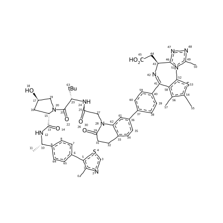 Cc1ncsc1-c1ccc([C@H](C)NC(=O)[C@@H]2C[C@@H](O)CN2C(=O)[C@@H](NC(=O)CN2C(=O)CCc3ccc(-c4ccc(C5=N[C@@H](CC(=O)O)c6nnc(C)n6-c6sc(C)c(C)c65)cc4)cc32)C(C)(C)C)cc1